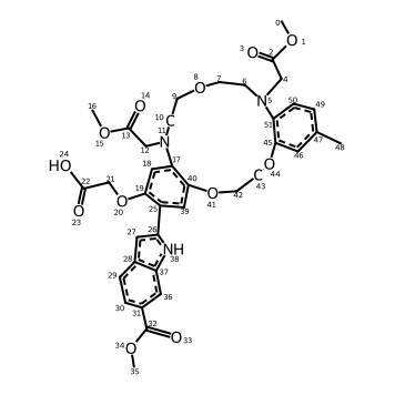 COC(=O)CN1CCOCCN(CC(=O)OC)c2cc(OCC(=O)O)c(-c3cc4ccc(C(=O)OC)cc4[nH]3)cc2OCCOc2cc(C)ccc21